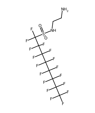 NCCNS(=O)(=O)C(F)(F)C(F)(F)C(F)(F)C(F)(F)C(F)(F)C(F)(F)C(F)(F)C(F)(F)F